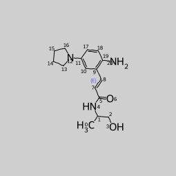 CC(CO)NC(=O)/C=C/c1cc(N2CCCC2)ccc1N